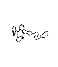 C1=CC2c3ccccc3C3CC=C(c4ccc5c(c4)-c4cccc6c(-c7ccccn7)c7ccccc7c-5c46)C(=C1)C23